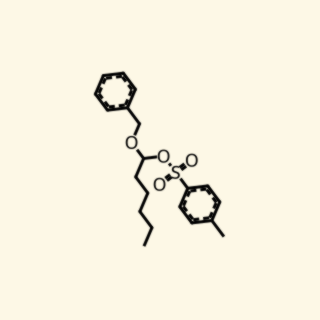 CCCCCC(OCc1ccccc1)OS(=O)(=O)c1ccc(C)cc1